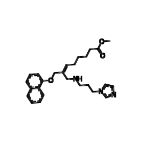 COC(=O)CCCCC=C(CNCCCn1ccnc1)COc1cccc2ccccc12